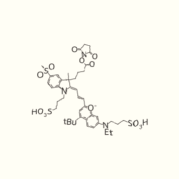 CCN(CCCS(=O)(=O)O)c1ccc2c(C(C)(C)C)cc(/C=C/C=C3\N(CCCS(=O)(=O)O)c4ccc(S(C)(=O)=O)cc4C3(C)CCCC(=O)ON3C(=O)CCC3=O)[o+]c2c1